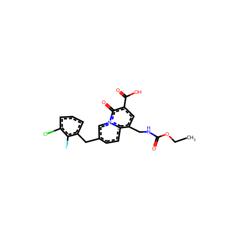 CCOC(=O)NCc1cc(C(=O)O)c(=O)n2cc(Cc3cccc(Cl)c3F)ccc12